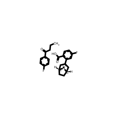 CCCC(=O)c1ccc(F)cc1.CN1[C@@H]2CC[C@H]1CC(c1cc(F)ccc1C(=O)O)C2